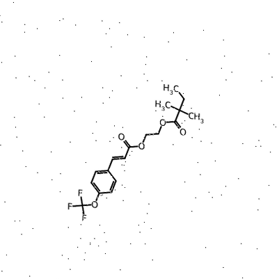 CCC(C)(C)C(=O)OCCOC(=O)/C=C/c1ccc(OC(F)(F)F)cc1